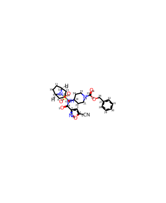 N#Cc1cc(C(=O)NC2C[C@H]3CC[C@@H](C2)N3S(=O)(=O)CC2CCN(C(=O)OCc3ccccc3)CC2)no1